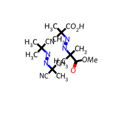 CC(C)(C#N)N=NC(C)(C)C#N.COC(=O)C(C)(C)N=NC(C)(C)C(=O)O